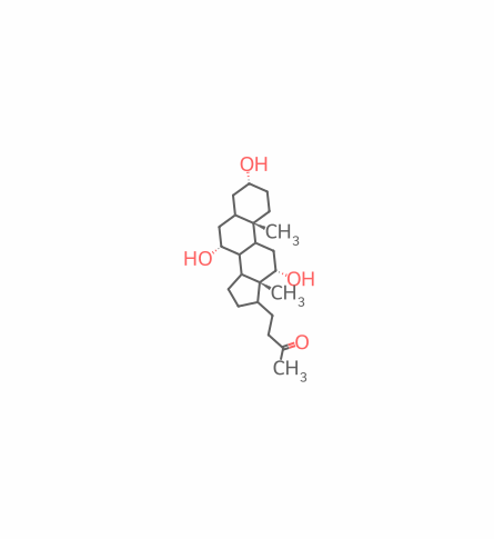 CC(=O)CCC1CCC2C3C(C[C@H](O)[C@]12C)[C@@]1(C)CC[C@@H](O)CC1C[C@H]3O